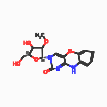 COC1C(O)[C@@H](CO)O[C@H]1n1cc2c(nc1=O)Nc1ccccc1O2